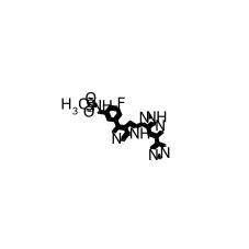 CS(=O)(=O)NCc1cc(F)cc(-c2cncc3[nH]c(-c4n[nH]c5ncc(-c6cncnc6)cc45)cc23)c1